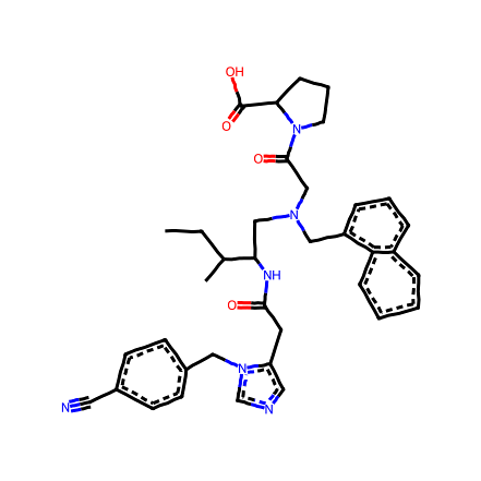 CCC(C)C(CN(CC(=O)N1CCCC1C(=O)O)Cc1cccc2ccccc12)NC(=O)Cc1cncn1Cc1ccc(C#N)cc1